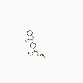 COCC(C)c1ccc(N2Cc3ccccc3C2=O)cc1